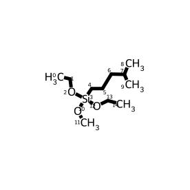 CCO[Si](CCCC(C)C)(OC)OCC